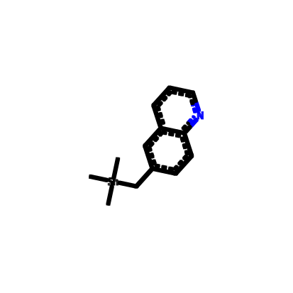 [CH3][Sn]([CH3])([CH3])[CH2]c1ccc2ncccc2c1